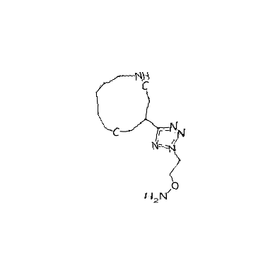 NOCCn1nnc(C2CCCCCCCNCC2)n1